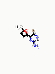 Cc1ccc(C2N=C(N)N=NC2Br)o1